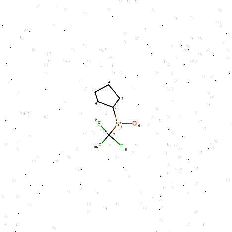 [O-][S+](C1CCCC1)C(F)(F)F